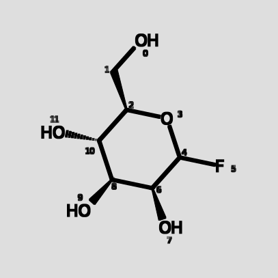 OC[C@H]1OC(F)[C@@H](O)[C@@H](O)[C@@H]1O